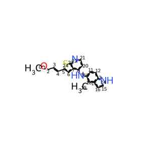 COCC=Cc1cc2c(Nc3ccc4[nH]ccc4c3C)ccnc2s1